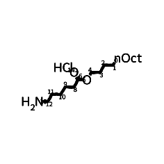 CCCCCCCCCCCCOC(=O)CCCCCN.Cl